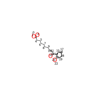 COC(=O)CCCCCCCCC(=O)c1cc(C)ccc1OC